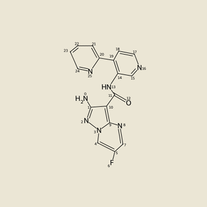 Nc1nn2cc(F)cnc2c1C(=O)Nc1cnccc1-c1ccccn1